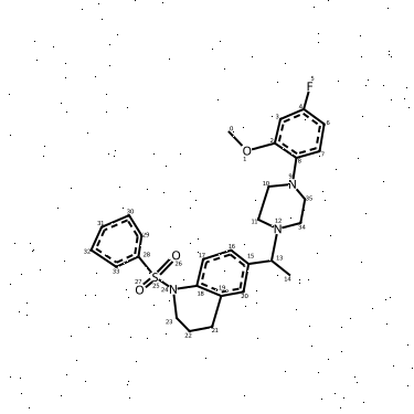 COc1cc(F)ccc1N1CCN(C(C)c2ccc3c(c2)CCCN3S(=O)(=O)c2ccccc2)CC1